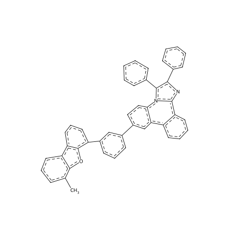 Cc1cccc2c1oc1c(-c3cccc(-c4ccc5c(c4)c4ccccc4c4nc(-c6ccccc6)c(-c6ccccc6)n54)c3)cccc12